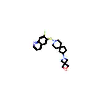 Fc1cc2ncccc2cc1SN1CCC2(CCC(N3CC4(COC4)C3)C2)CC1